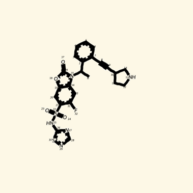 CC(c1ccccc1C#CC1CCNC1)n1c(=O)oc2cc(S(=O)(=O)Nc3ncns3)c(F)cc21